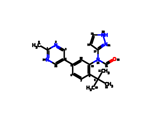 Cc1ncc(-c2ccc(C(C)(C)C)c(N(C=O)c3cc[nH]n3)c2)cn1